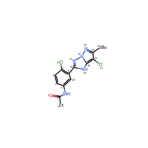 CCC(=O)Nc1ccc(Cl)c(-c2nn3nc(C(C)(C)C)c(Cl)c3[nH]2)c1